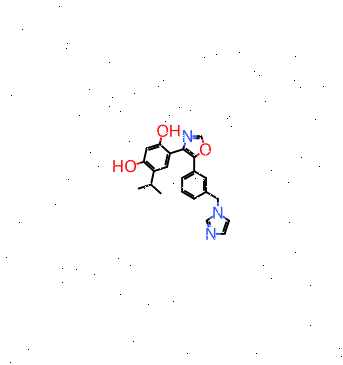 CC(C)c1cc(-c2ncoc2-c2cccc(Cn3ccnc3)c2)c(O)cc1O